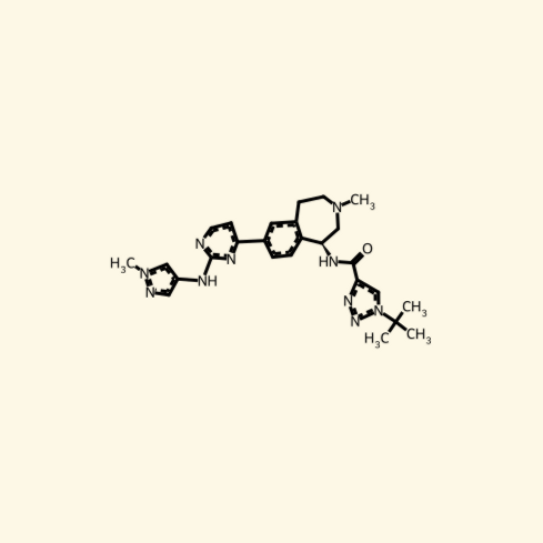 CN1CCc2cc(-c3ccnc(Nc4cnn(C)c4)n3)ccc2[C@H](NC(=O)c2cn(C(C)(C)C)nn2)C1